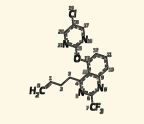 C=CCCc1nc(C(F)(F)F)nc2cccc(Oc3ncc(Cl)cn3)c12